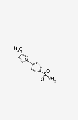 Cc1ccn(-c2ccc(S(N)(=O)=O)cc2)c1